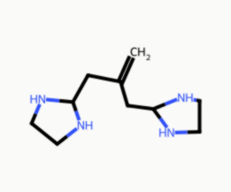 C=C(CC1NCCN1)CC1NCCN1